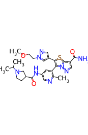 COCCn1cc(-c2sc3c(C(N)=O)cnn3c2-c2cc(NC(=O)C3CCN(C(C)C)C3)cnc2C)cn1